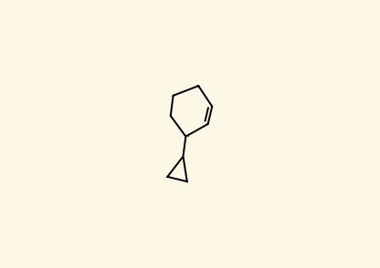 C1=C[C](C2CC2)CCC1